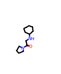 O=C(CNC1CCCCC1)N1CCCC1